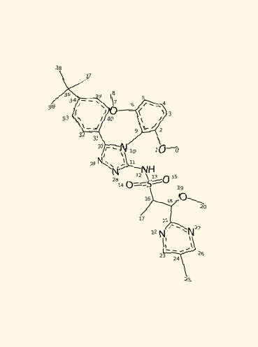 COc1cccc(OC)c1-n1c(NS(=O)(=O)C(C)C(OC)c2ncc(C)cn2)nnc1-c1ccc(C(C)(C)C)cc1